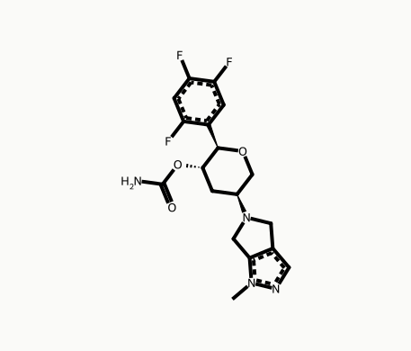 Cn1ncc2c1CN([C@@H]1CO[C@H](c3cc(F)c(F)cc3F)[C@@H](OC(N)=O)C1)C2